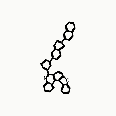 c1cc(-c2ccc3cc(-c4ccc5ccccc5c4)ccc3c2)cc(-c2nc3ccccc3c3c2ccc2oc4ccccc4c23)c1